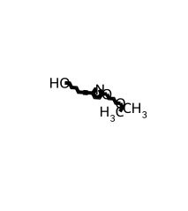 CC(C)OCCCOc1ccc(C#CCCCCO)cn1